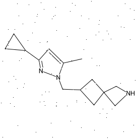 Cc1cc(C2CC2)nn1CC1CC2(CNC2)C1